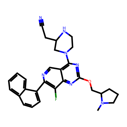 CN1CCCC1COc1nc(N2CCNC(CC#N)C2)c2cnc(-c3cccc4ccccc34)c(F)c2n1